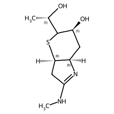 CNC1=N[C@@H]2C[C@H](O)C([C@H](C)O)S[C@@H]2C1